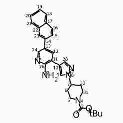 CC(C)(C)OC(=O)N1CCC(n2cc(-c3cc(-c4ccc5ccccc5c4)cnc3N)cn2)CC1